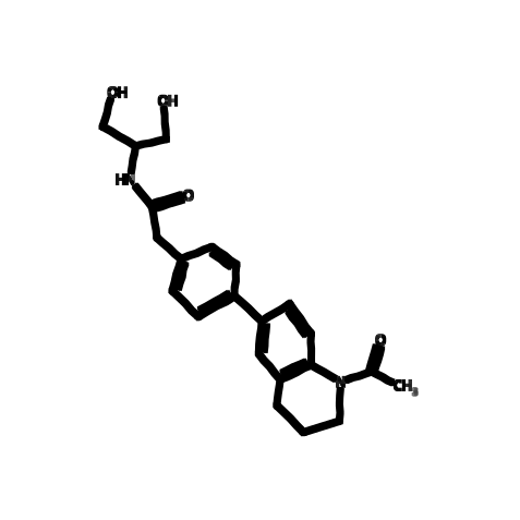 CC(=O)N1CCCc2cc(-c3ccc(CC(=O)NC(CO)CO)cc3)ccc21